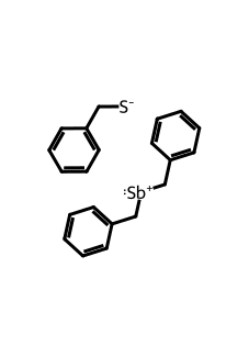 [S-]Cc1ccccc1.c1ccc([CH2][Sb+][CH2]c2ccccc2)cc1